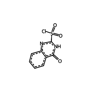 O=c1[nH]c(S(=O)(=O)Cl)nc2ccccc12